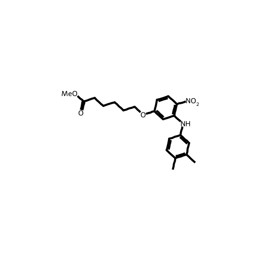 COC(=O)CCCCCOc1ccc([N+](=O)[O-])c(Nc2ccc(C)c(C)c2)c1